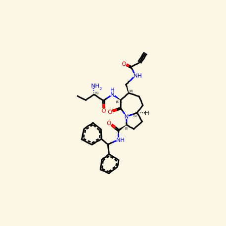 C#CC(=O)NC[C@H]1CC[C@H]2CC[C@@H](C(=O)NC(c3ccccc3)c3ccccc3)N2C(=O)[C@H]1NC(=O)[C@@H](N)CC